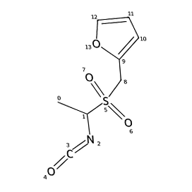 CC(N=C=O)S(=O)(=O)Cc1ccco1